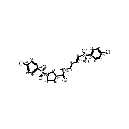 O=C(NCC/C=C/S(=O)(=O)c1ccc(Cl)cc1)C1CCN(S(=O)(=O)c2ccc(Cl)cc2)C1